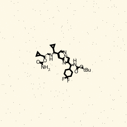 CC(C)(C)OC(=O)N[C@H](c1cn2ncc([C@H](NC[C@H](OC(N)=O)C3CC3)C3CC3)cc2n1)C1CCC(F)(F)CC1